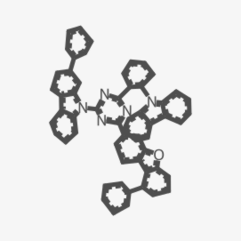 c1ccc(-c2ccc3c4ccccc4n(-c4nc(-c5ccc6c(c5)oc5cccc(-c7ccccc7)c56)nc(-c5ccccc5-n5c6ccccc6c6ccccc65)n4)c3c2)cc1